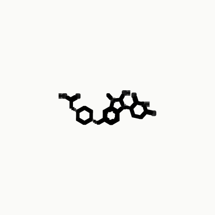 CN1c2cc(C[C@H]3CC[C@@H](CC(=O)O)CC3)ccc2N([C@@H]2CCC(=O)NC2=O)C1O